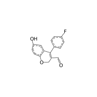 O=CC1=C(c2ccc(F)cc2)c2cc(O)ccc2OC1